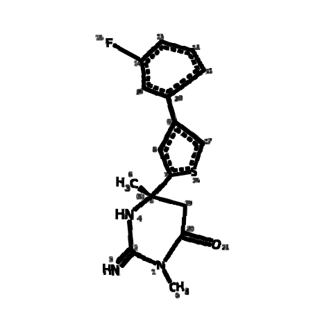 CN1C(=N)N[C@](C)(c2cc(-c3cccc(F)c3)cs2)CC1=O